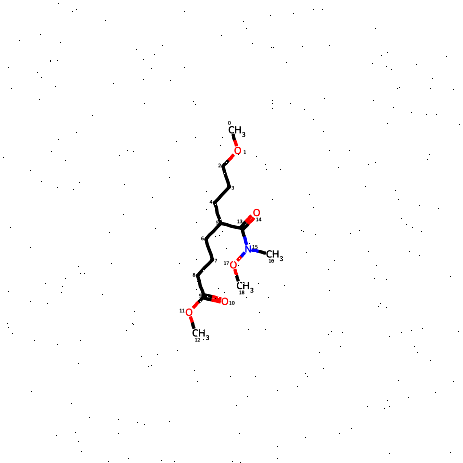 COCCCC(CCCC(=O)OC)C(=O)N(C)OC